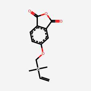 C=C[Si](C)(C)COc1ccc2c(c1)C(=O)OC2=O